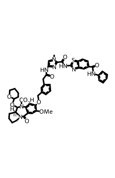 COc1cc2c(cc1OCc1cccc(CC(=O)Nc3cn(C)c(C(=O)Nc4nc5cc(C(=O)Nc6ccccc6)ccc5s4)n3)c1)N(C(=O)O)C(OC1CCCCO1)[C@@H]1CCCCN1C2=O